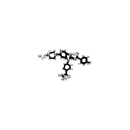 CC(C)NC(=O)C1CCC(n2/c(=N/C(=O)c3ccc(F)cc3)[nH]c3cnc(N4CCN(C)CC4)cc32)CC1